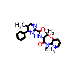 Cc1cnc(C(=O)N[C@@H]2C(=O)N(C)c3ncccc3O[C@@H]2C)nc1-c1ccccc1